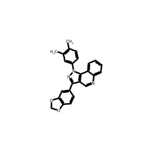 Cc1ccc(-n2nc(-c3ccc4c(c3)OCO4)c3cnc4ccccc4c32)cc1C